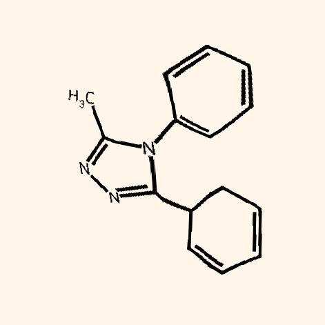 Cc1nnc(C2C=CC=CC2)n1-c1ccccc1